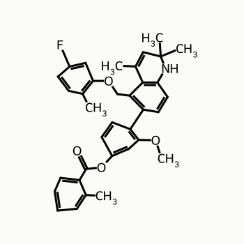 COc1cc(OC(=O)c2ccccc2C)ccc1-c1ccc2c(c1COc1cc(F)ccc1C)C(C)=CC(C)(C)N2